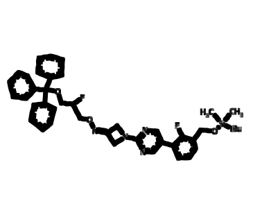 CC(C)(C)[Si](C)(C)OCc1cccc(-c2cnc(N3CC(=NOCC(F)COC(c4ccccc4)(c4ccccc4)c4ccccc4)C3)nc2)c1F